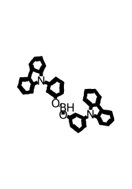 B(Oc1cccc(-n2c3ccccc3c3ccccc32)c1)Oc1cccc(-n2c3ccccc3c3ccccc32)c1